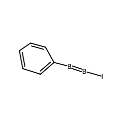 IB=Bc1ccccc1